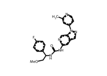 COCC(NC(=O)Nc1cc2cnn(-c3ccnc(C)c3)c2cn1)c1ccc(F)cc1